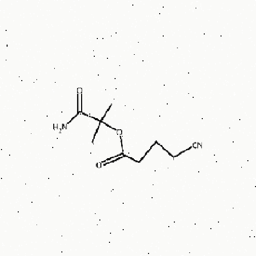 CC(C)(OC(=O)CC[CH]C#N)C(N)=O